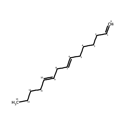 [CH]=CCCCCC=CCC=CCCCC